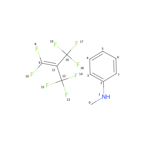 CNc1ccccc1.FC(F)=C(C(F)(F)F)C(F)(F)F